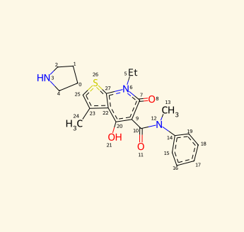 C1CCNC1.CCn1c(=O)c(C(=O)N(C)c2ccccc2)c(O)c2c(C)csc21